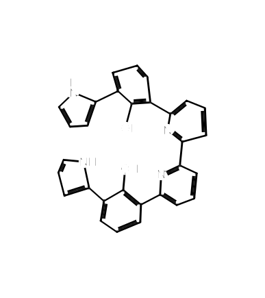 Oc1c(-c2cccc(-c3cccc(-c4cccc(-c5ccc[nH]5)c4O)n3)n2)cccc1-c1ccc[nH]1